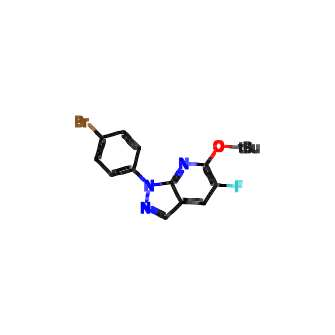 CC(C)(C)Oc1nc2c(cnn2-c2ccc(Br)cc2)cc1F